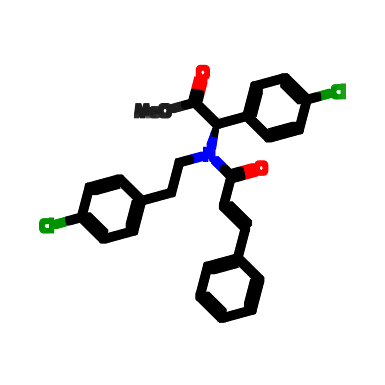 COC(=O)[C@@H](c1ccc(Cl)cc1)N(CCc1ccc(Cl)cc1)C(=O)C=Cc1ccccc1